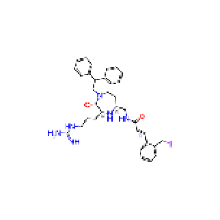 N=C(N)NCCC[C@@H]1N[C@H](CNC(=O)/C=C/c2ccccc2CI)CCN(CC(c2ccccc2)c2ccccc2)C1=O